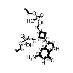 CCOP(=O)(O)OC[C@H]1C[C@@H](N2CNc3c2nc(N)[nH]c3=O)[C@@H]1COP(=O)(O)OCC